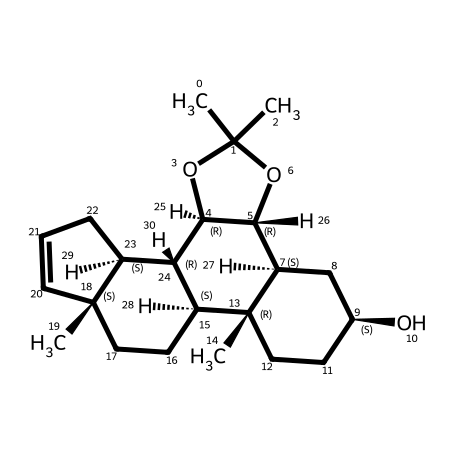 CC1(C)O[C@H]2[C@H](O1)[C@H]1C[C@@H](O)CC[C@]1(C)[C@H]1CC[C@]3(C)C=CC[C@H]3[C@H]21